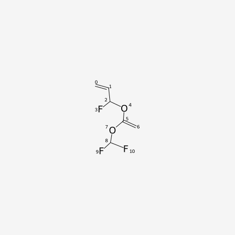 C=CC(F)OC(=C)OC(F)F